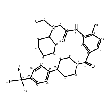 CCN(CC(=O)Nc1cc(C(=O)N2CCC(c3ccc(C(F)(F)F)cc3)CC2)ccc1C)C1CCCCC1